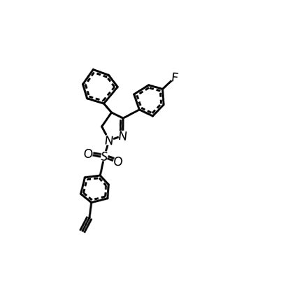 C#Cc1ccc(S(=O)(=O)N2CC(c3ccccc3)C(c3ccc(F)cc3)=N2)cc1